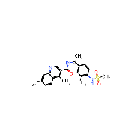 Cc1cc([C@@H](C)NC(=O)c2cnc3cc(C(F)(F)F)ccc3c2C)ccc1NS(C)(=O)=O